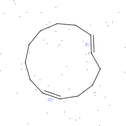 [C]1=C/CCCCCC/C=C\CCC/1